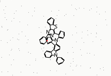 c1ccc(-c2nc(-c3ccccc3-n3c4ccccc4c4c5c6ccccc6n(-c6ccccc6)c5ccc43)c3sc4ccccc4c3n2)cc1